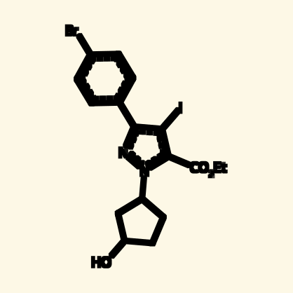 CCOC(=O)c1c(I)c(-c2ccc(Br)cc2)nn1C1CCC(O)C1